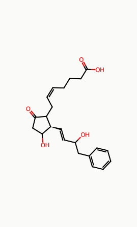 O=C(O)CCC/C=C\CC1C(=O)CC(O)[C@@H]1/C=C/C(O)Cc1ccccc1